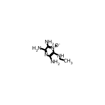 CCNc1c(N)nc(N)c(N)[n+]1[O-]